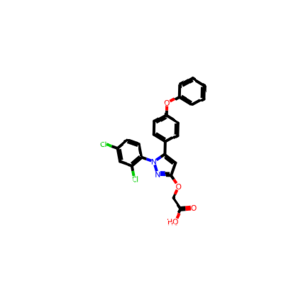 O=C(O)COc1cc(-c2ccc(Oc3ccccc3)cc2)n(-c2ccc(Cl)cc2Cl)n1